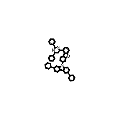 C1=CCC(c2ccc3c4cc(-c5ccccc5)ccc4n(-c4ccc5c(c4)oc4cccc(C6=NC(c7ccccc7)=NC(c7ccccc7)C6)c45)c3c2)C=C1